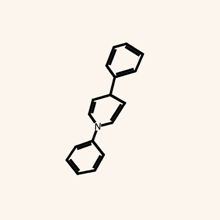 C1=CN(c2ccccc2)C=CC1c1ccccc1